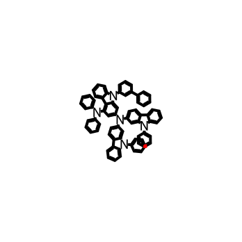 c1ccc(-c2cccc(-n3c4ccccc4c4c(N(c5ccccc5)c5ccccc5)cc(N(c5ccc6c7ccccc7n(-c7ccccc7)c6c5)c5ccc6c7ccccc7n(-c7ccccc7)c6c5)cc43)c2)cc1